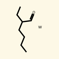 CCCCC(C=O)CC.[W]